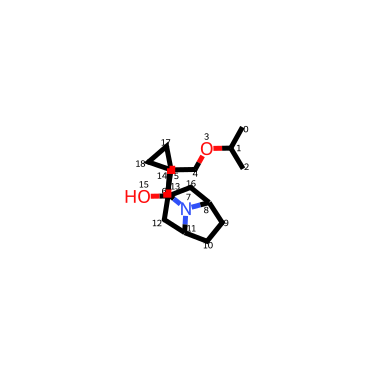 CC(C)OCC1(CN2C3CCC2CC(C)(O)C3)CC1